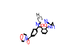 Cc1nc(-c2ccc(C(=O)N3CCOCC3)cc2)c(C2CCCCC2C(=O)NC2(C#N)CC2)o1